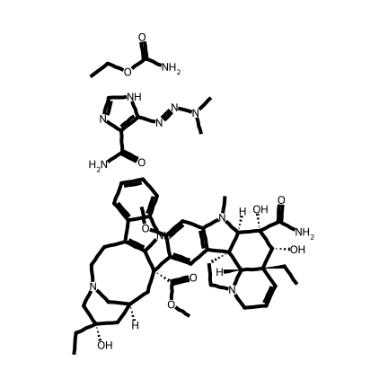 CCOC(N)=O.CC[C@]1(O)C[C@H]2CN(CCc3c([nH]c4ccccc34)[C@@](C(=O)OC)(c3cc4c(cc3OC)N(C)[C@H]3[C@@](O)(C(N)=O)[C@H](O)[C@]5(CC)C=CCN6CC[C@]43[C@@H]65)C2)C1.CN(C)/N=N/c1[nH]cnc1C(N)=O